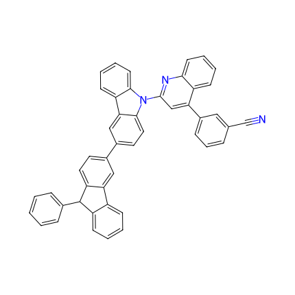 N#Cc1cccc(-c2cc(-n3c4ccccc4c4cc(-c5ccc6c(c5)-c5ccccc5C6c5ccccc5)ccc43)nc3ccccc23)c1